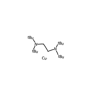 CC(C)(C)N(CCN(C(C)(C)C)C(C)(C)C)C(C)(C)C.[Cu]